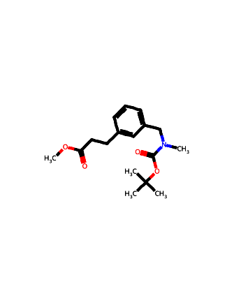 COC(=O)CCc1cccc(CN(C)C(=O)OC(C)(C)C)c1